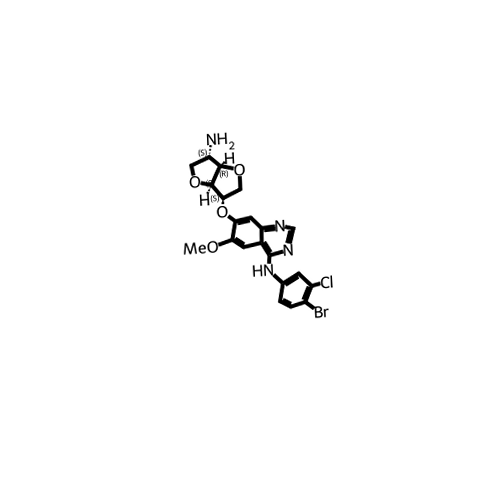 COc1cc2c(Nc3ccc(Br)c(Cl)c3)ncnc2cc1O[C@H]1CO[C@H]2[C@@H]1OC[C@@H]2N